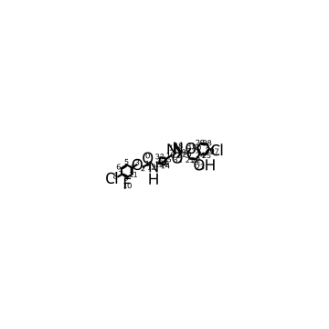 O=C(COc1ccc(Cl)c(F)c1)NC12CC(c3nnc([C@H]4C[C@@H](O)c5cc(Cl)ccc5O4)o3)(C1)C2